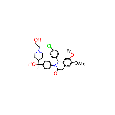 COc1cc2c(cc1OC(C)C)[C@H](c1ccc(Cl)cc1)N(c1ccc(C(C)(O)C3CCN(CCO)CC3)cc1)C(=O)C2